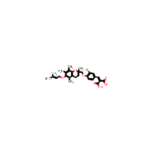 CC(C)=CCOc1c(C)c(C)c2c(c1C)CCC(C)(COc1ccc(C=C(C(=O)O)C(=O)O)cc1Br)O2